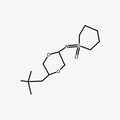 CC(C)(C)CC1COC(N=S2(=O)CCCCC2)CO1